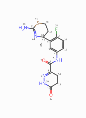 C[C@@]1(c2cc(NC(=O)C3=NNC(=O)CC3)ccc2F)CCSC(N)=N1